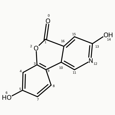 O=c1oc2cc(O)ccc2c2cnc(O)cc12